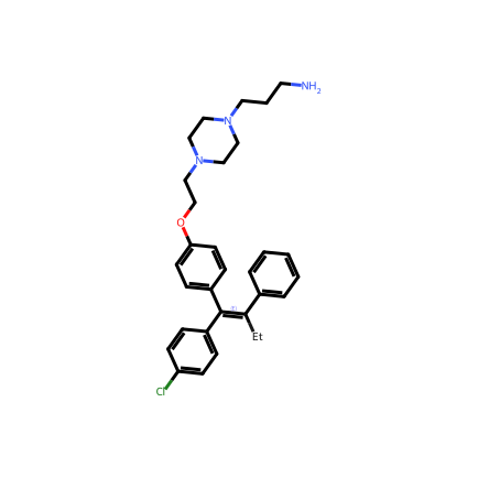 CC/C(=C(\c1ccc(Cl)cc1)c1ccc(OCCN2CCN(CCCN)CC2)cc1)c1ccccc1